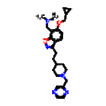 CN(C)Cc1c(OCC2CC2)ccc2c(CCC3CCN(Cc4cnccn4)CC3)noc12